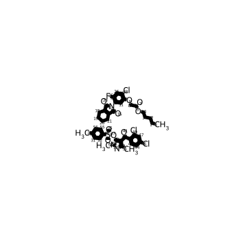 CCCCCOC(=O)COc1cc(N2C(=O)C3=C(CCCC3)C2=O)c(F)cc1Cl.Cc1ccc(S(=O)(=O)Oc2c(C(=O)c3ccc(Cl)cc3Cl)c(C)nn2C)cc1